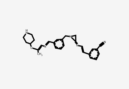 C/C(=C\N=C\c1cccc(CN2C/C2=N\C=C\c2cccc(C#N)c2)c1)OC1CCNCC1